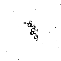 CC(C)c1cc(-c2nnc(S)n2Cc2cccc(CN3CCN(C)CC3)c2)ccc1O